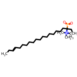 CCC=CCCCCCCCCCCCCCCC(CC)(P(=O)=O)[N+](C)(C)C